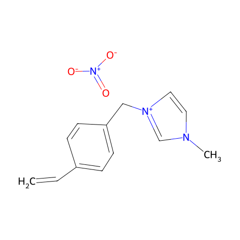 C=Cc1ccc(C[n+]2ccn(C)c2)cc1.O=[N+]([O-])[O-]